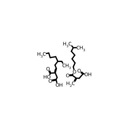 C=C(CC(=O)O)C(=O)OCCCCCC(C)C.CCCCC(CC)CC=C(CC(=O)O)C(=O)O